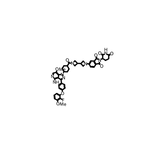 COc1cccc(Oc2ccc(-c3nn(C4CCC(C(=O)N5CC(C6CN(c7ccc8c(c7)C(=O)N(C7CCC(=O)NC7=O)C8=O)C6)C5)CC4)c4c(OC)cnc(N)c34)cc2)c1F